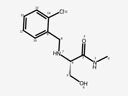 CNC(=O)[C@H](CO)NCc1ccccc1Cl